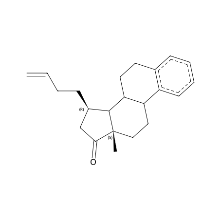 C=CCC[C@@H]1CC(=O)[C@@]2(C)CCC3c4ccccc4CCC3C12